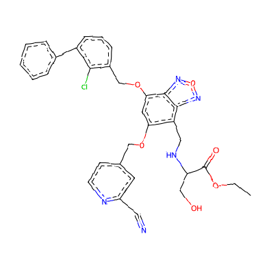 CCOC(=O)C(CO)NCc1c(OCc2ccnc(C#N)c2)cc(OCc2cccc(-c3ccccc3)c2Cl)c2nonc12